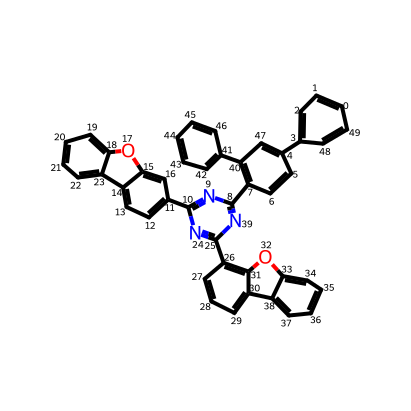 c1ccc(-c2ccc(-c3nc(-c4ccc5c(c4)oc4ccccc45)nc(-c4cccc5c4oc4ccccc45)n3)c(-c3ccccc3)c2)cc1